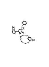 C1=C(OCc2ccccc2)/C(=C/C2CCCCCCCc3cc(c[nH]3)C2)N=C1c1ccc[nH]1